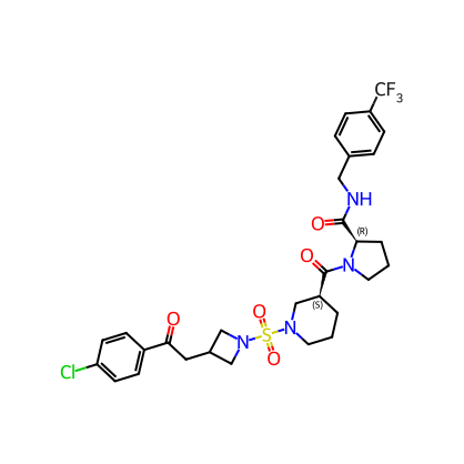 O=C(CC1CN(S(=O)(=O)N2CCC[C@H](C(=O)N3CCC[C@@H]3C(=O)NCc3ccc(C(F)(F)F)cc3)C2)C1)c1ccc(Cl)cc1